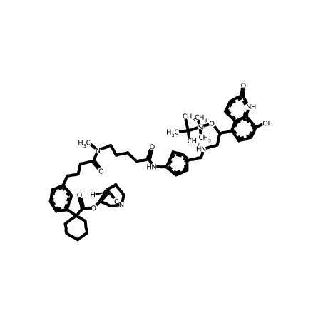 CN(CCCCC(=O)Nc1ccc(CNCC(O[Si](C)(C)C(C)(C)C)c2ccc(O)c3[nH]c(=O)ccc23)cc1)C(=O)CCCc1cccc(C2(C(=O)O[C@H]3CN4CCC3CC4)CCCCC2)c1